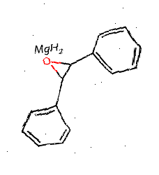 [MgH2].c1ccc(C2OC2c2ccccc2)cc1